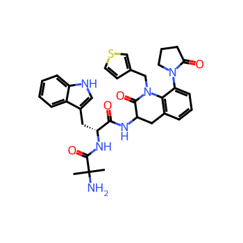 CC(C)(N)C(=O)N[C@H](Cc1c[nH]c2ccccc12)C(=O)NC1Cc2cccc(N3CCCC3=O)c2N(Cc2ccsc2)C1=O